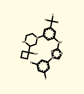 OC1(C2CN(c3cc(Nc4ncn(-c5cc(F)cc(F)c5)n4)cc(C(F)(F)F)c3)CCN2)CCC1